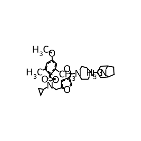 COc1cc(C)c(S(=O)(=O)N(Cc2cc(C(=O)N3CCN(C4CC5CCC(C4)N5C)CC3)co2)C2CC2)c(C)c1